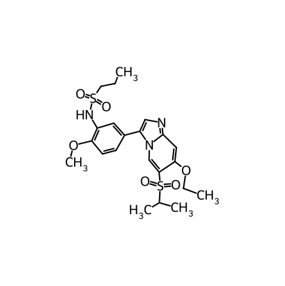 CCCS(=O)(=O)Nc1cc(-c2cnc3cc(OCC)c(S(=O)(=O)C(C)C)cn23)ccc1OC